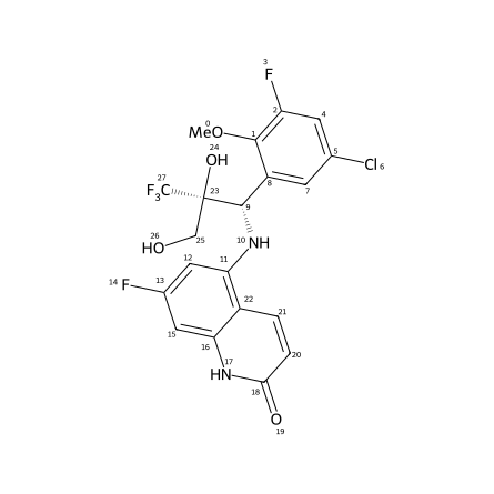 COc1c(F)cc(Cl)cc1[C@H](Nc1cc(F)cc2[nH]c(=O)ccc12)[C@](O)(CO)C(F)(F)F